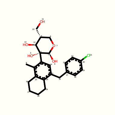 Cc1c([C@]2(O)[C@H](O)OC[C@@H](CO)[C@@H]2O)cc(Cc2ccc(Cl)cc2)c2c1CCCC2